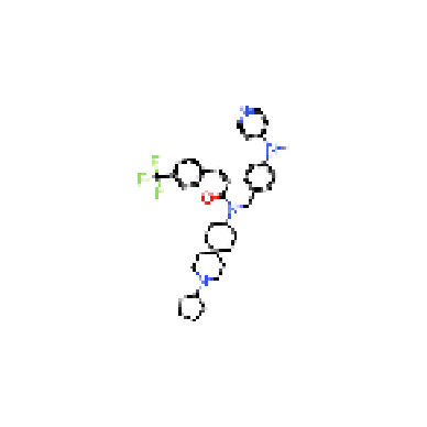 CN(c1ccncc1)c1ccc(CN(C(=O)C=Cc2ccc(C(F)(F)F)cc2)C2CCC3(CC2)CCN(C2CCCC2)CC3)cc1